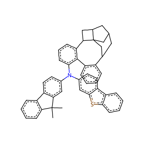 CC1(C)c2ccccc2-c2ccc(N(c3ccc4c(c3)sc3ccccc34)c3cccc4c3-c3ccccc3C3CC5CC6CC4C6(C5)C3)cc21